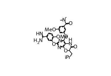 COc1cc(Oc2nc(Oc3cc(C(=N)N)ccc3OC)nc3c2NC(=O)C(CC(C)C)O3)cc(C(=O)N(C)C)c1